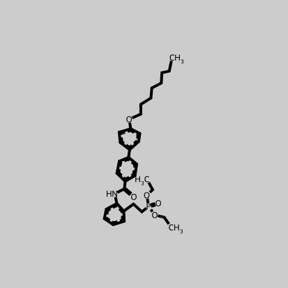 CCCCCCCCOc1ccc(-c2ccc(C(=O)Nc3ccccc3CCP(=O)(OCC)OCC)cc2)cc1